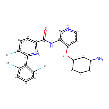 NC1CCCC(Oc2ccncc2NC(=O)c2ccc(F)c(-c3c(F)cccc3F)n2)C1